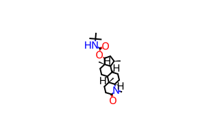 C[C@@H]1C[C@H](OC(=O)NC(C)(C)C)[C@@]2(C)CC[C@H]3[C@@H](CC[C@H]4N(C)C(=O)CC[C@]34C)[C@H]12